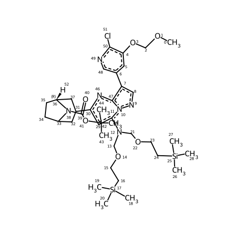 COCOc1cc(-c2cnn3c(N(COCC[Si](C)(C)C)COCC[Si](C)(C)C)cc(C4CC5CC[C@H](C4)N5C(=O)OC(C)(C)C)nc23)cnc1Cl